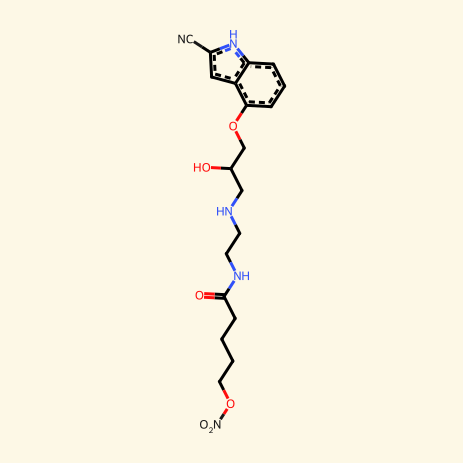 N#Cc1cc2c(OCC(O)CNCCNC(=O)CCCCO[N+](=O)[O-])cccc2[nH]1